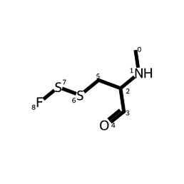 CNC(C=O)CSSF